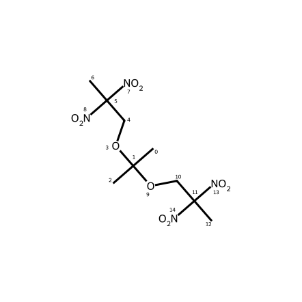 CC(C)(OCC(C)([N+](=O)[O-])[N+](=O)[O-])OCC(C)([N+](=O)[O-])[N+](=O)[O-]